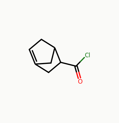 O=C(Cl)C1CC2=CCC1C2